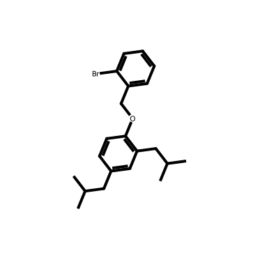 CC(C)Cc1ccc(OCc2ccccc2Br)c(CC(C)C)c1